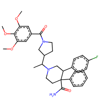 COc1cc(C(=O)N2CCC(C(C)N3CCC(C(N)=O)(c4ccccc4)C(c4ccc(F)cc4)C3)C2)cc(OC)c1OC